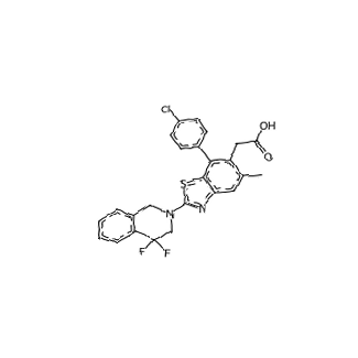 Cc1cc2nc(N3Cc4ccccc4C(F)(F)C3)sc2c(-c2ccc(Cl)cc2)c1CC(=O)O